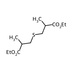 CCOC(=O)C(C)CSCC(C)C(=O)OCC